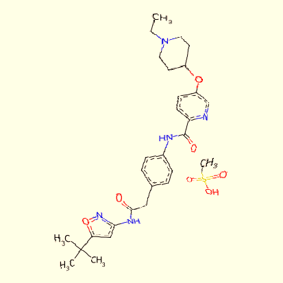 CCN1CCC(Oc2ccc(C(=O)Nc3ccc(CC(=O)Nc4cc(C(C)(C)C)on4)cc3)nc2)CC1.CS(=O)(=O)O